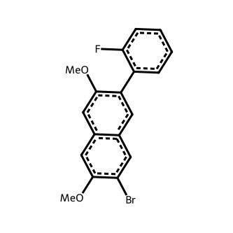 COc1cc2cc(OC)c(-c3ccccc3F)cc2cc1Br